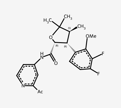 COc1c([C@@H]2[C@H](C(=O)Nc3ccnc(C(C)=O)c3)OC(C)(C)[C@H]2C)ccc(F)c1F